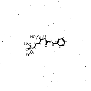 CCOP(=O)(CCCC(NC(=O)OCc1ccccc1)C(=O)O)OCC